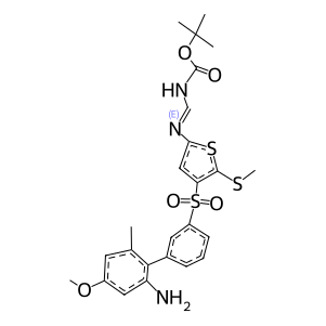 COc1cc(C)c(-c2cccc(S(=O)(=O)c3cc(/N=C/NC(=O)OC(C)(C)C)sc3SC)c2)c(N)c1